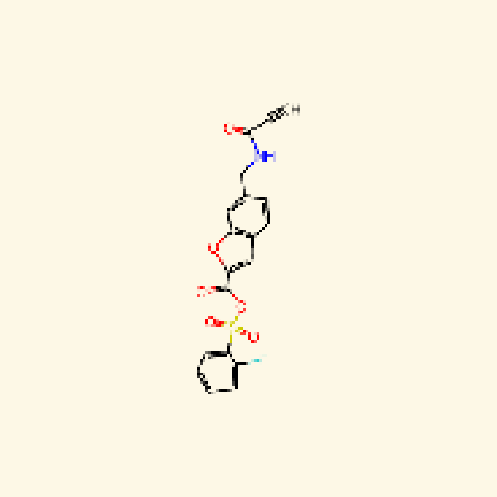 C#CC(=O)NCc1ccc2cc(C(=O)OS(=O)(=O)c3ccccc3F)oc2c1